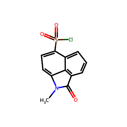 CN1C(=O)c2cccc3c(S(=O)(=O)Cl)ccc1c23